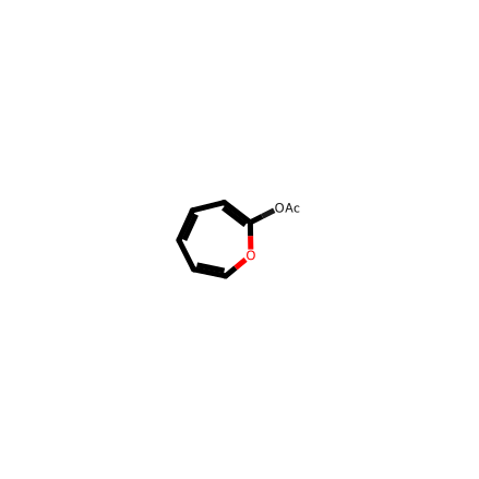 CC(=O)OC1=CC=CC=CO1